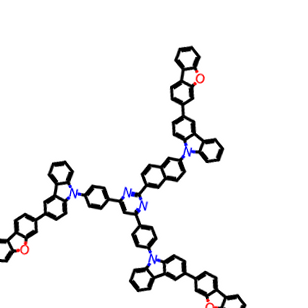 c1ccc2c(c1)oc1cc(-c3ccc4c(c3)c3ccccc3n4-c3ccc(-c4cc(-c5ccc(-n6c7ccccc7c7cc(-c8ccc9c(c8)oc8ccccc89)ccc76)cc5)nc(-c5ccc6cc(-n7c8ccccc8c8cc(-c9ccc%10c(c9)oc9ccccc9%10)ccc87)ccc6c5)n4)cc3)ccc12